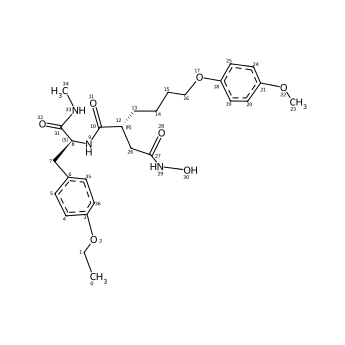 CCOc1ccc(C[C@H](NC(=O)[C@H](CCCCOc2ccc(OC)cc2)CC(=O)NO)C(=O)NC)cc1